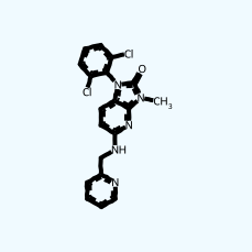 Cn1c(=O)n(-c2c(Cl)cccc2Cl)c2ccc(NCc3ccccn3)nc21